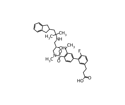 CCc1cc(-c2cc(CCC(=O)O)ccc2F)ccc1S(=O)(=O)N(C)C[C@H](O)CNC(C)(C)CC1Cc2ccccc2C1